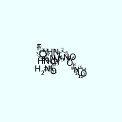 N=C1CCN(C(=O)OCCN2CCOCC2)C[C@H]1n1cc(C(N)=O)c(Nc2ccc(F)cc2)n1